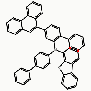 c1ccc(-c2ccc(N(c3cc(-c4cc5ccccc5c5ccccc45)ccc3-c3ccccc3)c3cccc4c3sc3ccccc34)cc2)cc1